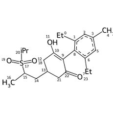 CCc1cc(C)cc(CC)c1C1=C(O)CC(CC(C)S(=O)(=O)C(C)C)CC1=O